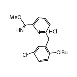 COC(=N)c1cccc(Cc2cc(Cl)ccc2OCC(C)C)n1.Cl